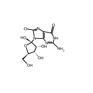 Nc1nc2c(nc(Cl)n2[C@@]2(O)O[C@H](CO)[C@@H](O)[C@H]2O)c(=O)[nH]1